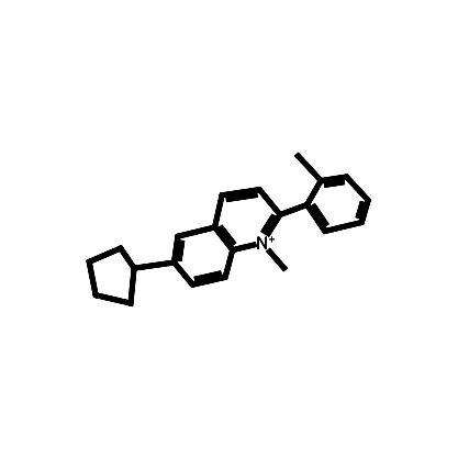 Cc1ccccc1-c1ccc2cc(C3CCCC3)ccc2[n+]1C